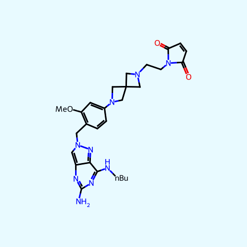 CCCCNc1nc(N)nc2cn(Cc3ccc(N4CC5(CN(CCN6C(=O)C=CC6=O)C5)C4)cc3OC)nc12